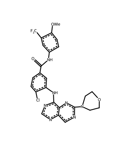 COc1ccc(NC(=O)c2ccc(Cl)c(Nc3ncnc4cnc(N5CCOCC5)nc34)c2)cc1C(F)(F)F